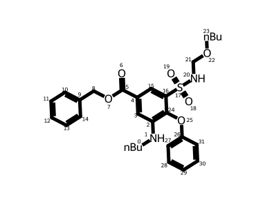 CCCCNc1cc(C(=O)OCc2ccccc2)cc(S(=O)(=O)NCOCCCC)c1Oc1ccccc1